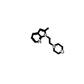 Cc1cc2cccnc2n1CCN1CCOCC1